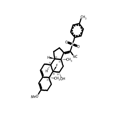 [C-]#[N+]C(=C1CC[C@H]2[C@@H]3CC=C4C=C(OC)CC[C@]4(C)[C@@]3(F)[C@@H](O)C[C@]12C)S(=O)(=O)c1ccc(C)cc1